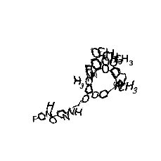 COc1cc2c3cc1Oc1c(OC)c(OC)cc4c1[C@@H](Cc1ccc(OCCCNc5ccc(C(=O)Nc6ccc(F)cc6)cn5)c(c1)Oc1ccc(cc1)C[C@@H]3N(C)CC2)N(C)CC4